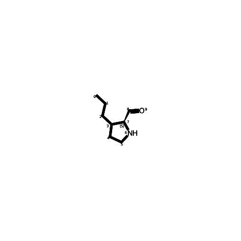 CCCC1CCN[C@@H]1[C]=O